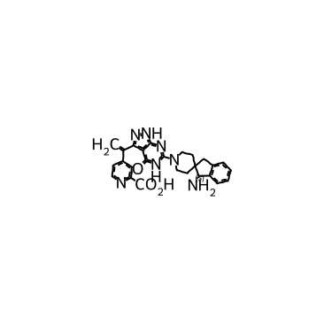 C=C(c1ccnc(C(=O)O)c1)c1n[nH]c2nc(N3CCC4(CC3)Cc3ccccc3[C@H]4N)[nH]c(=O)c12